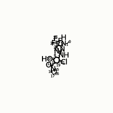 CCNc1nc(Nc2cc(O)c(C(=O)N3CCCC3)cc2Cl)ncc1C(F)(F)F